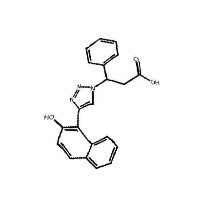 O=C(O)CC(c1ccccc1)n1cc(-c2c(O)ccc3ccccc23)nn1